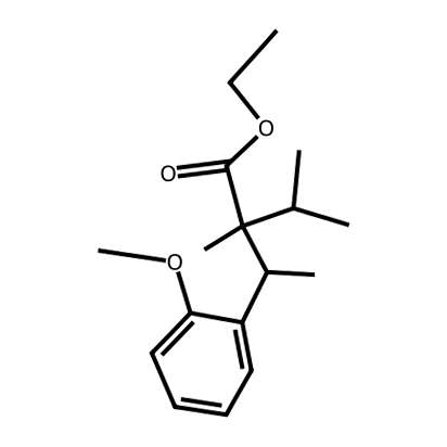 CCOC(=O)C(C)(C(C)C)C(C)c1ccccc1OC